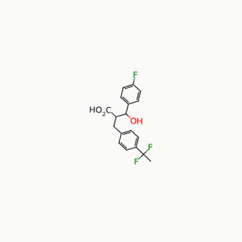 CC(F)(F)c1ccc(CC(C(=O)O)C(O)c2ccc(F)cc2)cc1